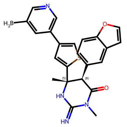 Bc1cncc(-c2csc([C@@]3(C)NC(=N)N(C)C(=O)[C@@H]3c3ccc4occc4c3)c2)c1